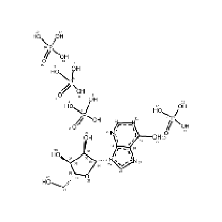 O=P(O)(O)O.O=P(O)(O)O.O=P(O)(O)O.O=P(O)(O)O.OC[C@H]1O[C@@H](n2cnc3c(O)ncnc32)[C@H](O)[C@@H]1O